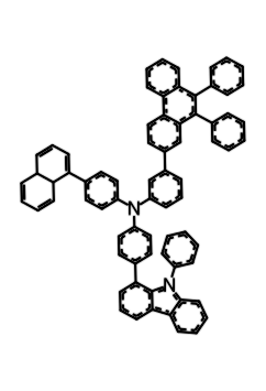 C1=CC2C=CC=C(c3ccc(N(c4ccc(-c5cccc6c7ccccc7n(-c7ccccc7)c56)cc4)c4cccc(-c5ccc6c(c5)c(-c5ccccc5)c(-c5ccccc5)c5ccccc56)c4)cc3)C2C=C1